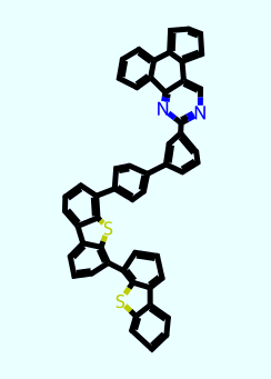 c1cc(-c2ccc(-c3cccc4c3sc3c(-c5cccc6c5sc5ccccc56)cccc34)cc2)cc(-c2ncc3c4ccccc4c4ccccc4c3n2)c1